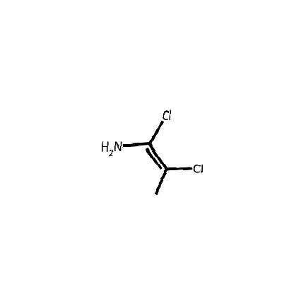 C/C(Cl)=C(\N)Cl